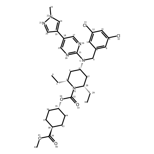 CC[C@@H]1C[C@H](N(Cc2cc(Cl)cc(Cl)c2)c2ncc(-c3cnn(C)c3)cn2)C[C@H](CC)N1C(=O)O[C@H]1CC[C@H](C(=O)OC)CC1